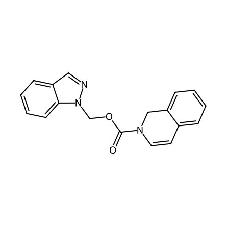 O=C(OCn1ncc2ccccc21)N1C=Cc2ccccc2C1